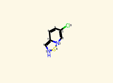 ClC1=CN2SNC=C2C=[C]1